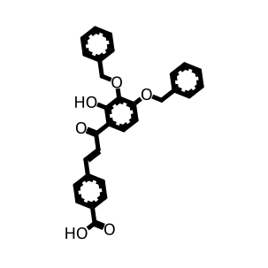 O=C(O)c1ccc(/C=C/C(=O)c2ccc(OCc3ccccc3)c(OCc3ccccc3)c2O)cc1